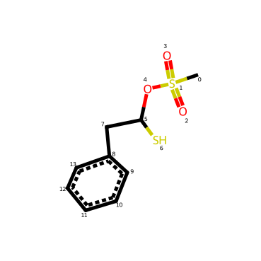 CS(=O)(=O)OC(S)Cc1ccccc1